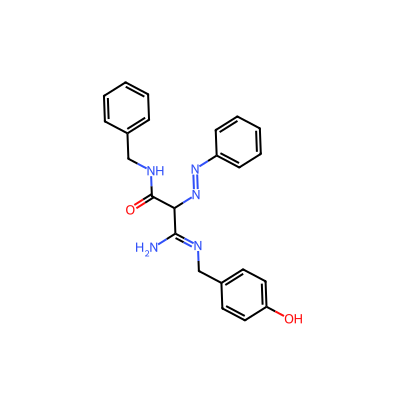 N/C(=N\Cc1ccc(O)cc1)C(/N=N/c1ccccc1)C(=O)NCc1ccccc1